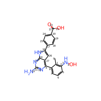 Cc1c(NO)cccc1-c1nc(N)nc2[nH]c(-c3ccc(C(=O)O)cc3)cc12